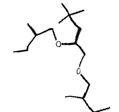 CCC(C)COCC(CC(C)(C)C)OCC(C)CC